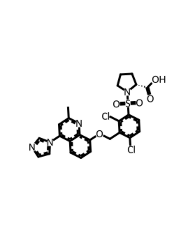 Cc1cc(-n2ccnc2)c2cccc(OCc3c(Cl)ccc(S(=O)(=O)N4CCC[C@@H]4C(=O)O)c3Cl)c2n1